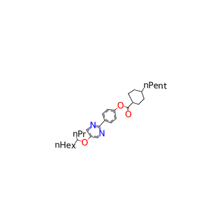 CCCCCCC(CCC)Oc1cnc(-c2ccc(OC(=O)C3CCC(CCCCC)CC3)cc2)nc1